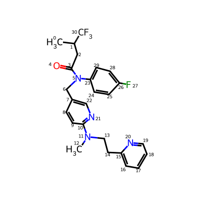 CC(CC(=O)N(Cc1ccc(N(C)CCc2ccccn2)nc1)c1ccc(F)cc1)C(F)(F)F